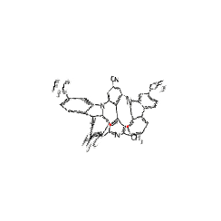 Cc1cc(-c2c(-n3c4ccccc4c4ccc(C(F)(F)F)cc43)cc(C#N)cc2-n2c3ccccc3c3ccc(C(F)(F)F)cc32)cc(C)n1